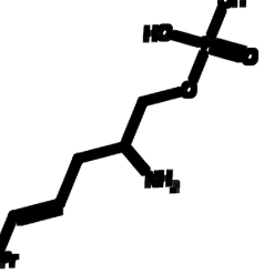 CCC/C=C/CC(N)COP(=O)(O)O